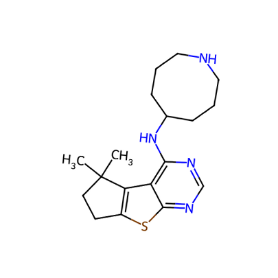 CC1(C)CCc2sc3ncnc(NC4CCCNCCC4)c3c21